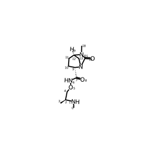 CN[C@@H](C)CONC(=O)[C@@H]1CC[C@@H]2CN1C(=O)N2C